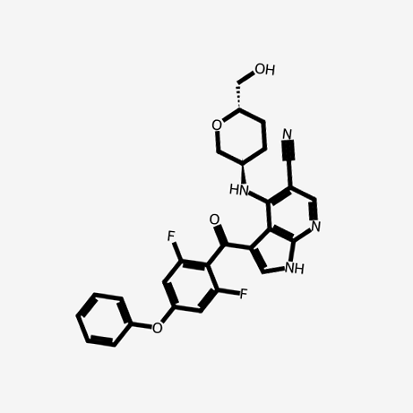 N#Cc1cnc2[nH]cc(C(=O)c3c(F)cc(Oc4ccccc4)cc3F)c2c1N[C@@H]1CC[C@@H](CO)OC1